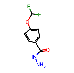 NNC(=O)c1ccc(OC(F)F)cc1